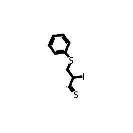 S=[C]C(I)CSc1ccccc1